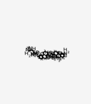 CN(C(=O)[C@@]1(C)CCC[C@]2(C)c3cc(NC(=O)[C@@H](N)Cc4cnc[nH]4)ccc3CC[C@@]12C)C(O)[C@@]1(C)CCC[C@]2(C)c3cc(N)ccc3CC[C@H]21